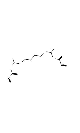 C=CC(=O)OC(C)OCCCCOC(C)OC(=O)C=C